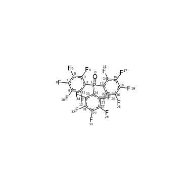 O=P(c1c(F)c(F)c(F)c(F)c1F)(c1c(F)c(F)c(F)c(F)c1F)c1c(F)c(F)c(F)c(F)c1F